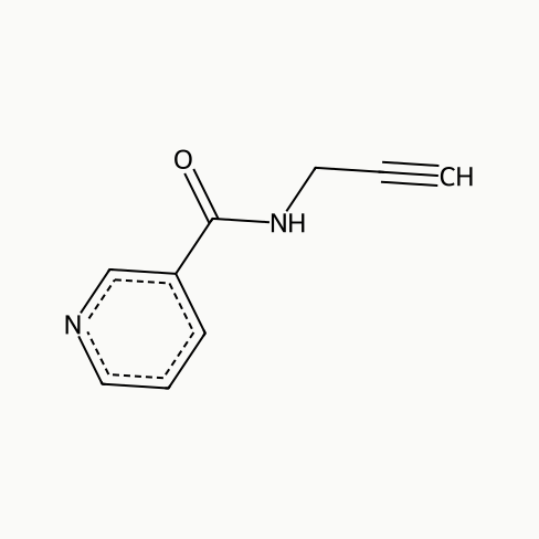 C#CCNC(=O)c1cccnc1